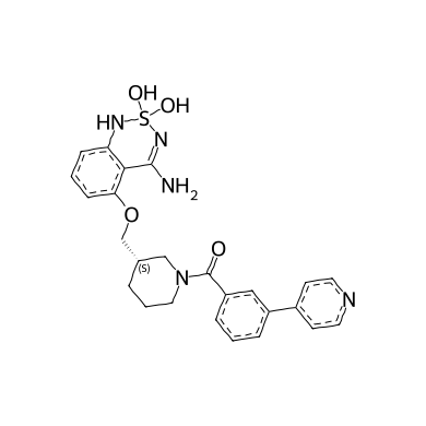 NC1=NS(O)(O)Nc2cccc(OC[C@H]3CCCN(C(=O)c4cccc(-c5ccncc5)c4)C3)c21